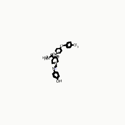 O=C(NO)C1(S(=O)(=O)N2CCC(Oc3ccc(C(F)(F)F)cc3)CC2)CCN(/C=N/c2ccc(O)cc2)CC1